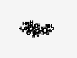 CN1C(=N)N[C@](C)(c2cc(-c3ccc(F)c(N)c3)c(I)s2)[C@H](C2CC2)C1=O